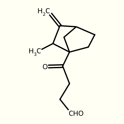 C=C1C2CCC(C(=O)CCC=O)(C2)C1C